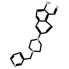 O=Cc1c(O)ccc2cc(N3CCN(Cc4cccnc4)CC3)ccc12